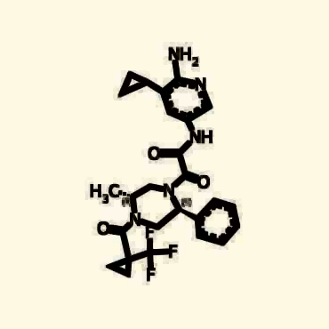 C[C@@H]1CN(C(=O)C(=O)Nc2cnc(N)c(C3CC3)c2)[C@@H](c2ccccc2)CN1C(=O)C1(C(F)(F)F)CC1